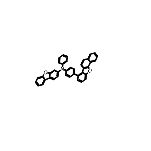 c1ccc(N(c2ccc(-c3cccc4oc5c6ccccc6ccc5c34)cc2)c2ccc3c(c2)oc2ccccc23)cc1